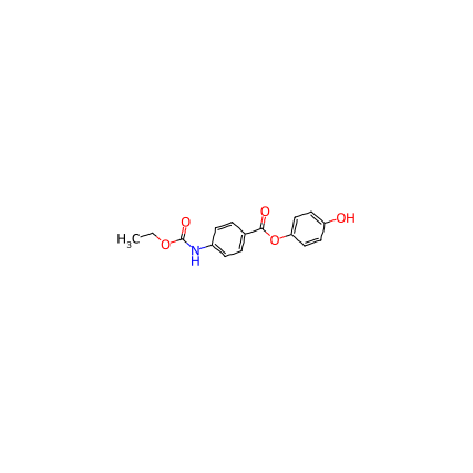 CCOC(=O)Nc1ccc(C(=O)Oc2ccc(O)cc2)cc1